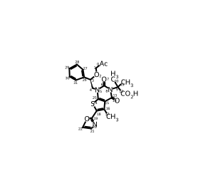 CC(=O)CO[C@@H](Cn1c(=O)n(C(C)(C)C(=O)O)c(=O)c2c(C)c(-c3ncco3)sc21)c1ccccc1